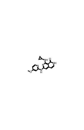 COc1ccnc(Nc2cc3cc[nH]c(=O)c3c(NC3CC3)n2)c1